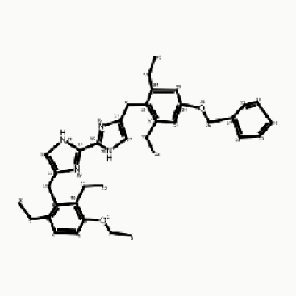 CCOc1ccc(CC)c(Cc2c[nH]c(-c3nc(Cc4c(CC)cc(OCc5ccccc5)cc4CC)c[nH]3)n2)c1CC